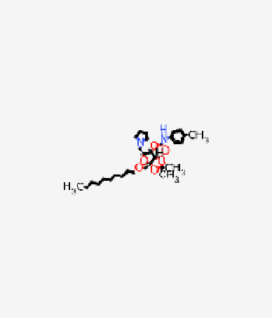 CCCCCCCCCCOC[C@@]12O[C@@H](CN3CCCC3)[C@@H](OC(=O)Nc3ccc(C)cc3)[C@@H]1OC(C)(C)O2